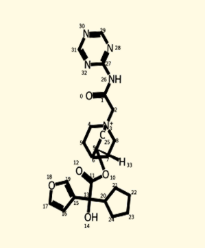 O=C(C[N+]12CCC(CC1)[C@@H](OC(=O)C(O)(c1ccoc1)C1CCCC1)C2)Nc1ncncn1